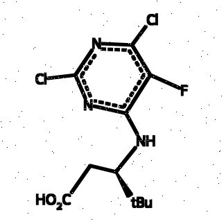 CC(C)(C)[C@@H](CC(=O)O)Nc1nc(Cl)nc(Cl)c1F